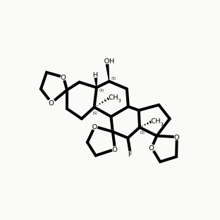 C[C@]12C(CCC13OCCO3)C1C[C@H](O)[C@H]3CC4(CC[C@]3(C)C1C1(OCCO1)C2F)OCCO4